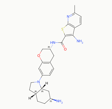 Cc1ccc2c(N)c(C(=O)N[C@H]3COc4cc(N5CC[C@H]6CC[C@H](N)C[C@H]65)ccc4C3)sc2n1